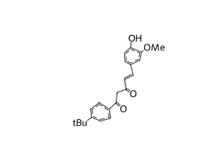 COc1cc(C=CC(=O)CC(=O)c2ccc(C(C)(C)C)cc2)ccc1O